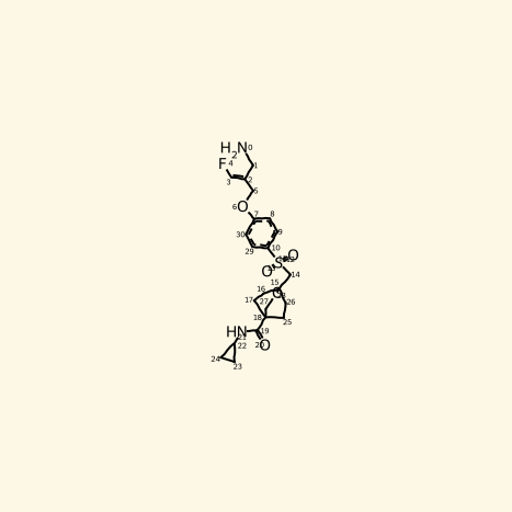 NCC(=CF)COc1ccc(S(=O)(=O)CC23CCC(C(=O)NC4CC4)(CC2)CC3)cc1